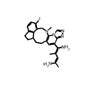 C/C(N)=C/C(C)=C(\N)c1cc2c(n3cnnc13)N(C)Cc1c(F)ccc3c1C(CC3)CC2